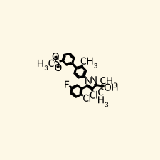 Cc1cc(-n2nc(C(C)(C)O)c(Cl)c2-c2cc(F)ccc2Cl)ccc1-c1cccc(S(C)(=O)=O)c1